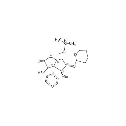 C[SiH](C)OC[C@]12C[C@@H](OC3CCCCO3)[C@@H](C(C)(C)C)[C@@]1(c1ccccc1)C([SeH])C(=O)O2